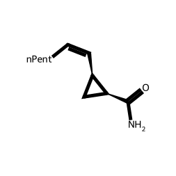 CCCCC/C=C\[C@@H]1C[C@@H]1C(N)=O